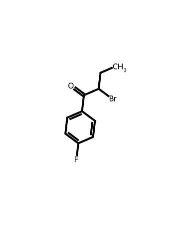 CCC(Br)C(=O)c1ccc(F)cc1